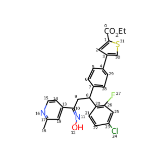 CCOC(=O)c1cc(-c2ccc(C(CC(=NO)c3ccnc(C)c3)c3ccc(Cl)cc3F)cc2)cs1